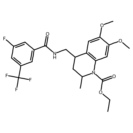 CCOC(=O)N1c2cc(OC)c(OC)cc2C(CNC(=O)c2cc(F)cc(C(F)(F)F)c2)CC1C